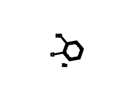 Oc1ccccc1Cl.[Xe]